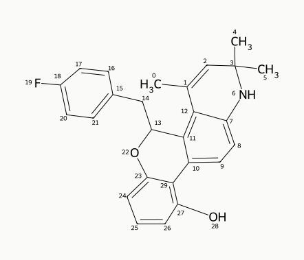 CC1=CC(C)(C)Nc2ccc3c(c21)C(Cc1ccc(F)cc1)Oc1cccc(O)c1-3